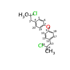 CC(Cl)Cc1ccc(Oc2ccc(CC(C)Cl)cc2)cc1